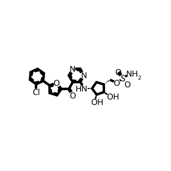 NS(=O)(=O)OC[C@H]1C[C@@H](Nc2ncncc2C(=O)c2ccc(-c3ccccc3Cl)o2)[C@H](O)[C@@H]1O